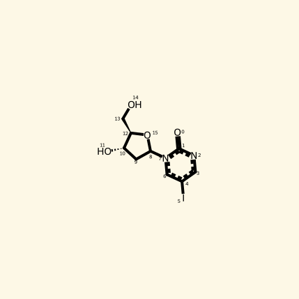 O=c1ncc(I)cn1C1C[C@H](O)[C@@H](CO)O1